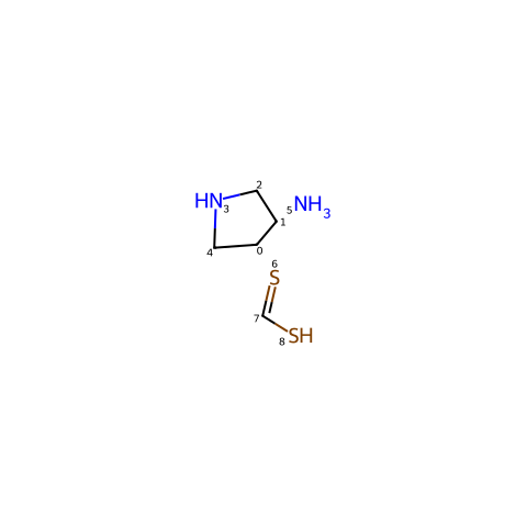 C1CCNC1.N.S=CS